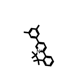 Cc1cc(C)cc(-c2ccc3[n+](c2)C(C)(C)C(C)(C)c2ccccc2-3)c1